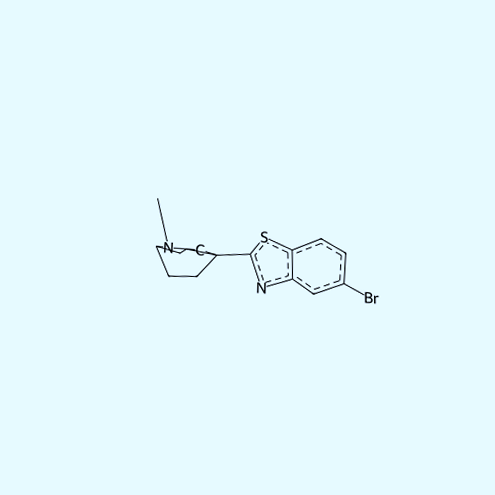 CN1CC2(c3nc4cc(Br)ccc4s3)CCC1CC2